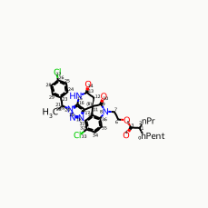 CCCCCC(CCC)C(=O)OCCN1C(=O)[C@]2(CC(=O)Nc3c2nnn3[C@@H](C)c2ccc(Cl)cc2)c2cc(Cl)ccc21